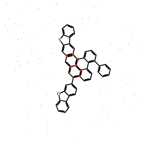 c1ccc(-c2ccccc2-c2c(-c3ccccc3)cccc2N(c2ccc(-c3ccc4c(c3)oc3ccccc34)cc2)c2ccc3sc4ccccc4c3c2)cc1